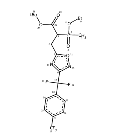 CCOP(C)(=O)C(Cc1nc(C(F)(F)c2ccc(C(F)(F)F)cc2)no1)C(=O)OC(C)(C)C